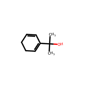 CC(C)(O)C1=CCCC=C1